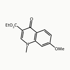 CCOC(=O)c1cn(C)c2cc(OC)ccc2c1=O